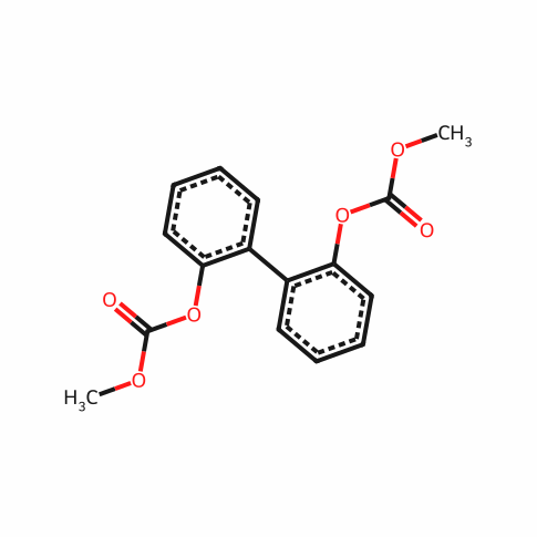 COC(=O)Oc1ccccc1-c1ccccc1OC(=O)OC